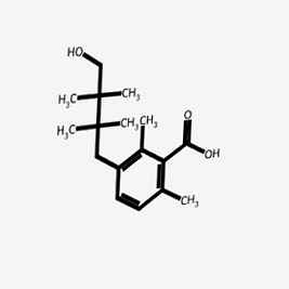 Cc1ccc(CC(C)(C)C(C)(C)CO)c(C)c1C(=O)O